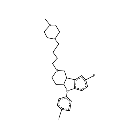 CN1CCN(CCCCN2CCC3C(C2)c2cc(F)ccc2N3c2ccc(F)cc2)CC1